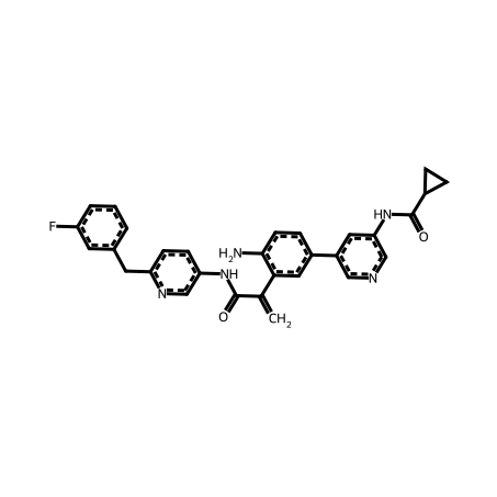 C=C(C(=O)Nc1ccc(Cc2cccc(F)c2)nc1)c1cc(-c2cncc(NC(=O)C3CC3)c2)ccc1N